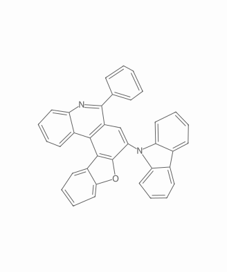 c1ccc(-c2nc3ccccc3c3c2cc(-n2c4ccccc4c4ccccc42)c2oc4ccccc4c23)cc1